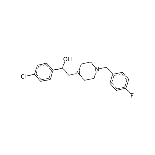 OC(CN1CCN(Cc2ccc(F)cc2)CC1)c1ccc(Cl)cc1